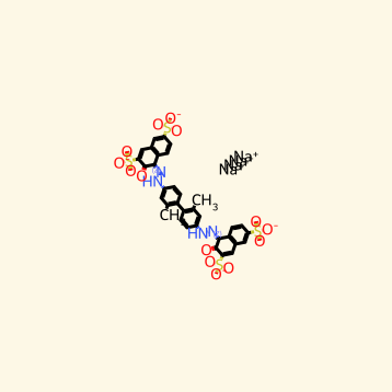 Cc1cc(N/N=C2\C(=O)C(S(=O)(=O)[O-])=Cc3cc(S(=O)(=O)[O-])ccc32)ccc1-c1ccc(N/N=C2\C(=O)C(S(=O)(=O)[O-])=Cc3cc(S(=O)(=O)[O-])ccc32)cc1C.[Na+].[Na+].[Na+].[Na+]